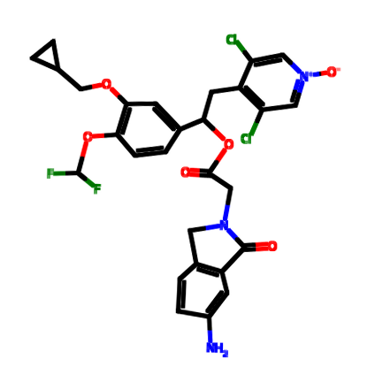 Nc1ccc2c(c1)C(=O)N(CC(=O)OC(Cc1c(Cl)c[n+]([O-])cc1Cl)c1ccc(OC(F)F)c(OCC3CC3)c1)C2